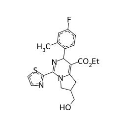 CCOC(=O)C1=C2CC(CO)CN2C(c2nccs2)=NC1c1ccc(F)cc1C